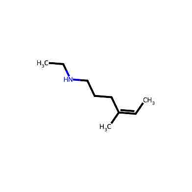 C/C=C(/C)CCCNCC